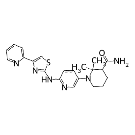 CC1(C)C(C(N)=O)CCCN1c1ccc(Nc2nc(-c3ccccn3)cs2)nc1